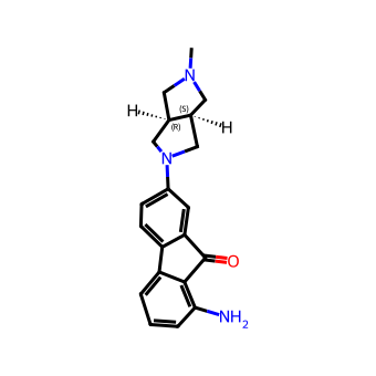 CN1C[C@@H]2CN(c3ccc4c(c3)C(=O)c3c(N)cccc3-4)C[C@@H]2C1